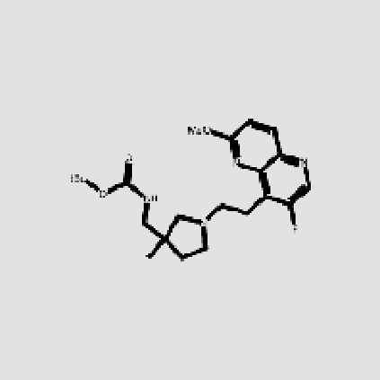 COc1ccc2ncc(F)c(CCN3CCC(C)(CNC(=O)OC(C)(C)C)C3)c2n1